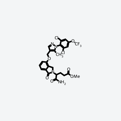 COC(=O)CCC(C(N)=O)N1Cc2c(OCc3cnn(-c4c(Cl)cc(OC(F)(F)F)cc4Cl)c3C)cccc2C1=O